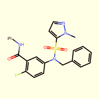 CC(C)NC(=O)c1cc(N(Cc2ccccc2)S(=O)(=O)c2ccnn2C)ccc1F